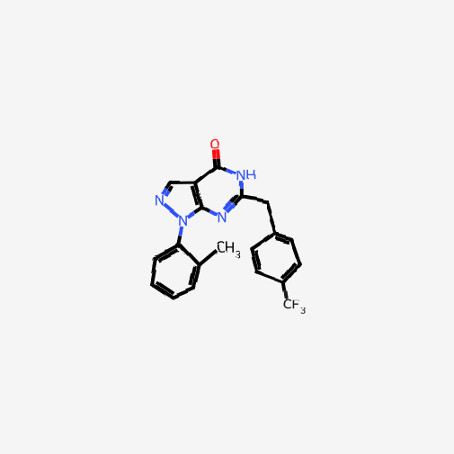 Cc1ccccc1-n1ncc2c(=O)[nH]c(Cc3ccc(C(F)(F)F)cc3)nc21